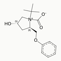 CC(C)(C)[N+]1(C(=O)[O-])C[C@@H](O)C[C@@H]1COc1ccccc1